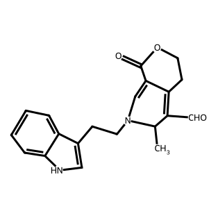 CC1C(C=O)=C2CCOC(=O)C2=CN1CCc1c[nH]c2ccccc12